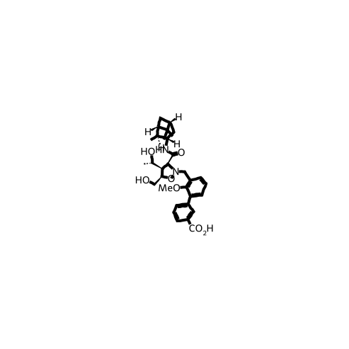 COc1c(CN2O[C@@H](CO)[C@@H]([C@H](C)O)[C@H]2C(=O)N[C@H]2C[C@H]3C[C@@H]([C@@H]2C)C3(C)C)cccc1-c1cccc(C(=O)O)c1